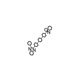 c1ccc(-c2nc3ccccc3nc2-c2ccc(-c3ccc(-c4ccc(-c5nc6ccccc6o5)cc4)cc3)cc2)cc1